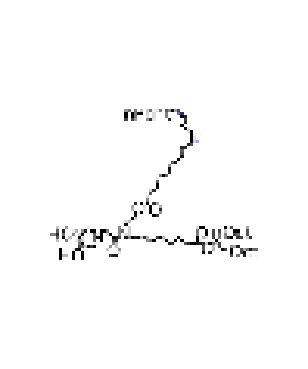 CCCCC/C=C\C/C=C\CCCCCCCC(=O)OCCN(CCCCCCCC(=O)OC(CCCCCCCC)CCCCCCCC)C(=O)CN1C[C@@H](O)[C@@H](O)C1